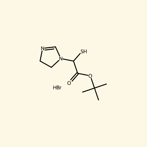 Br.CC(C)(C)OC(=O)C(S)N1C=NCC1